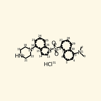 CN(C)c1cccc2c(S(=O)(=O)n3ccc4c(N5CCNCC5)cccc43)cccc12.Cl